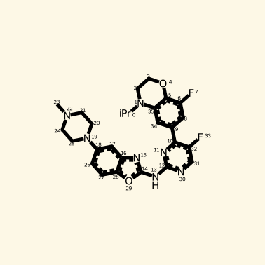 CC(C)N1CCOc2c(F)cc(-c3nc(Nc4nc5cc(N6CCN(C)CC6)ccc5o4)ncc3F)cc21